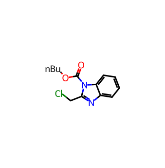 CCCCOC(=O)n1c(CCl)nc2ccccc21